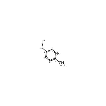 Cc1ccc(CI)cn1